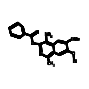 CCOc1cc2c(C)nc(OC(=O)c3ccccc3)c([N+](=O)[O-])c2cc1OC